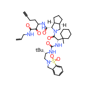 C#CCCC(NC(=O)[C@@H]1[C@H]2CCC[C@H]2CN1C(=O)[C@@H](NC(=O)N[C@H](CN1Cc2ccccc2S1(=O)=O)C(C)(C)C)C1(C)CCCCC1)C(=O)C(=O)NCC=C